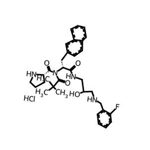 CC(C)(C)C(=O)N(C(=O)[C@@H]1CCCN1)[C@H](Cc1ccc2ccccc2c1)C(=O)NCC(O)CNCc1ccccc1F.Cl